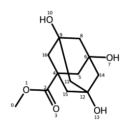 COC(=O)C12CC3(O)CC(O)(CC(O)(C3)C1)C2